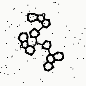 c1cc(-c2cc3ccccc3c3ccccc23)cc(N(c2cccc(-c3cccc4oc5ccccc5c34)c2)c2cccc3oc4ccccc4c23)c1